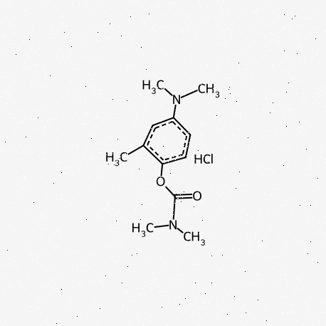 Cc1cc(N(C)C)ccc1OC(=O)N(C)C.Cl